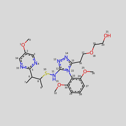 COc1cnc(C(C)C(C)SNc2nnc(CCOCCO)n2-c2c(OC)cccc2OC)nc1